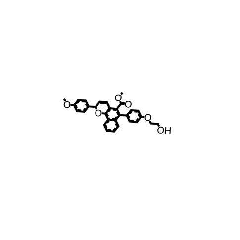 COC(=O)c1c2c(c3ccccc3c1-c1ccc(OCCO)cc1)OC(c1ccc(OC)cc1)C=C2